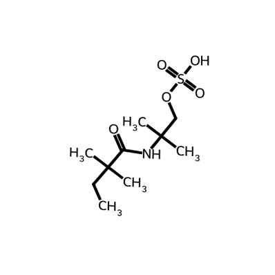 CCC(C)(C)C(=O)NC(C)(C)COS(=O)(=O)O